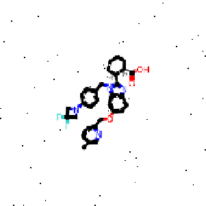 Cc1ccc(COc2ccc3nc([C@H]4CCCC[C@H]4C(=O)O)n(Cc4ccc(N5CC(F)(F)C5)cc4)c3c2)nc1